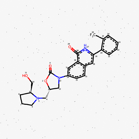 O=C1O[C@@H](CN2CCC[C@H]2CO)CN1c1ccc2cc(-c3ccccc3C(F)(F)F)[nH]c(=O)c2c1